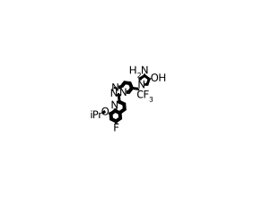 CC(C)Oc1cc(F)cc2ccc(-c3nnc4ccc([C@@H](N5C[C@@H](N)[C@H](O)C5)C(F)(F)F)cn34)nc12